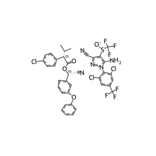 CC(C)[C@H](C(=O)O[C@H](C#N)c1cccc(Oc2ccccc2)c1)c1ccc(Cl)cc1.N#Cc1nn(-c2c(Cl)cc(C(F)(F)F)cc2Cl)c(N)c1[S+]([O-])C(F)(F)F